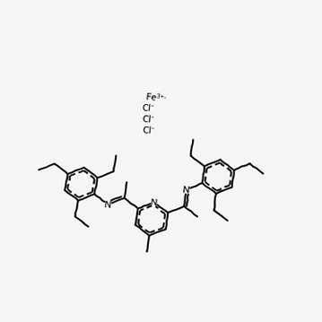 CCc1cc(CC)c(N=C(C)c2cc(C)cc(C(C)=Nc3c(CC)cc(CC)cc3CC)n2)c(CC)c1.[Cl-].[Cl-].[Cl-].[Fe+3]